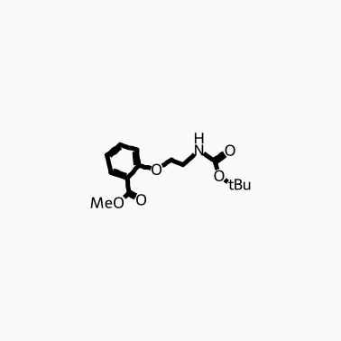 COC(=O)c1ccccc1OCCNC(=O)OC(C)(C)C